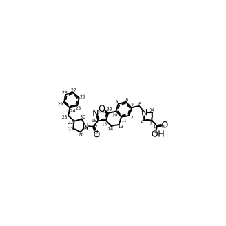 O=C(O)C1CN(Cc2ccc3c(c2)CCc2c(C(=O)N4CCC(Cc5ccccc5)C4)noc2-3)C1